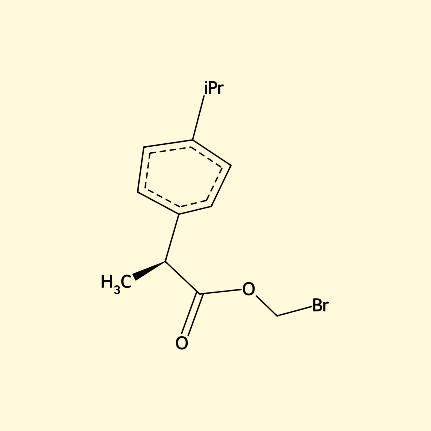 CC(C)c1ccc([C@H](C)C(=O)OCBr)cc1